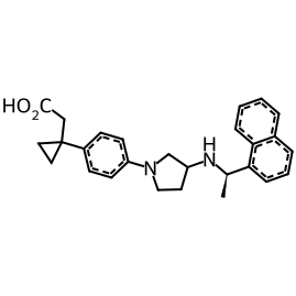 C[C@@H](NC1CCN(c2ccc(C3(CC(=O)O)CC3)cc2)C1)c1cccc2ccccc12